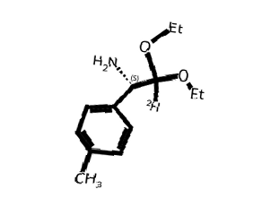 [2H]C(OCC)(OCC)[C@@H](N)c1ccc(C)cc1